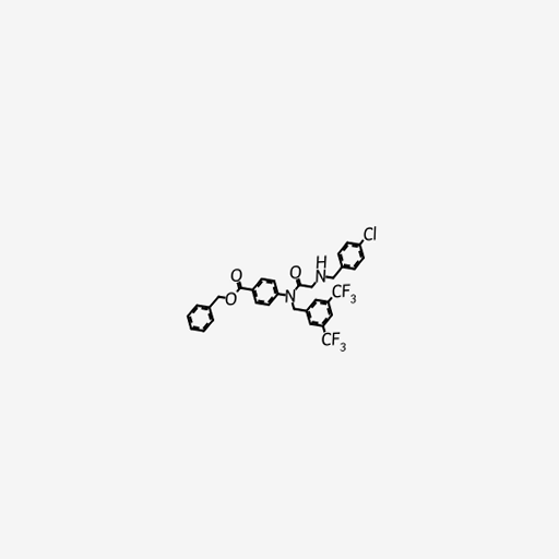 O=C(OCc1ccccc1)c1ccc(N(Cc2cc(C(F)(F)F)cc(C(F)(F)F)c2)C(=O)CNCc2ccc(Cl)cc2)cc1